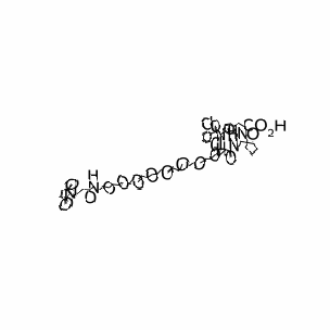 O=C(CCOCCOCCOCCOCCOCCOCCOCCOCCNC(=O)CCN1C(=O)C=CC1=O)NCCC1(C(=O)NC(Cc2ccc(NC(=O)c3c(Cl)cccc3Cl)cc2)C(=O)O)CCCC1